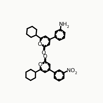 Nc1cccc(-c2cc(C3CCCCC3)oc(=O)c2)c1.O=c1cc(-c2cccc([N+](=O)[O-])c2)cc(C2CCCCC2)o1